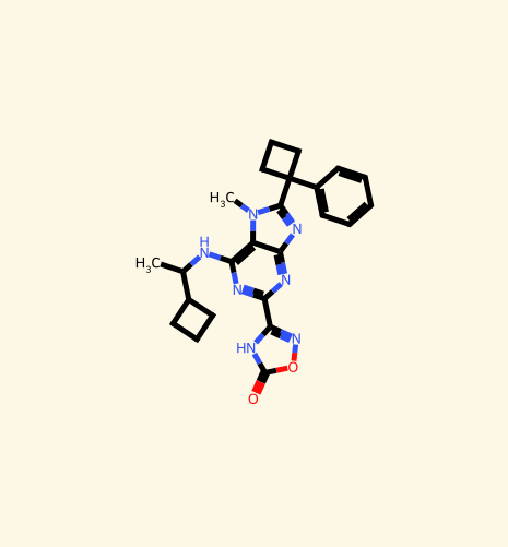 CC(Nc1nc(-c2noc(=O)[nH]2)nc2nc(C3(c4ccccc4)CCC3)n(C)c12)C1CCC1